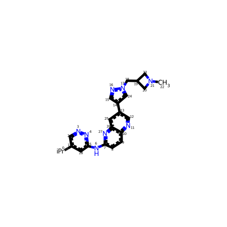 CC(C)c1cnnc(Nc2ccc3ncc(-c4cnn(CC5CN(C)C5)c4)cc3n2)c1